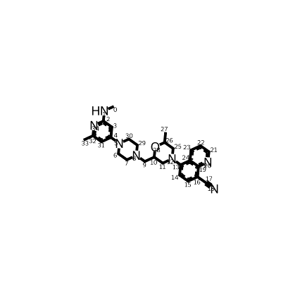 CNc1cc(N2CCN(CC3CN(c4ccc(C#N)c5ncccc45)CC(C)O3)CC2)cc(C)n1